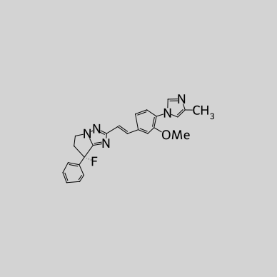 COc1cc(/C=C/c2nc3n(n2)CC[C@]3(F)c2ccccc2)ccc1-n1cnc(C)c1